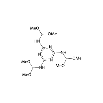 COC(Nc1nc(NC(OC)OC)nc(NC(OC)OC)n1)OC